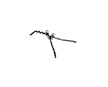 CCCC/C=C\CCCCCCCC(=O)OC[C@H](COC(=O)CCCCCCCCCCCCCCCCCCCCC)OC(=O)CCCCCCCCCCCCCCCCC